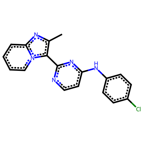 Cc1nc2ccccn2c1-c1nccc(Nc2ccc(Cl)cc2)n1